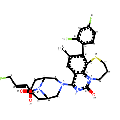 Cc1cc2c(N3CC4CC(=O)CC(C3)N4C(=O)/C=C/CF)nc(=O)n3c2c(c1-c1ccc(F)cc1F)SCCC3